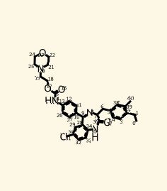 CCc1ccc(CC2N=C(c3ccc(NC(=O)OCCN4CCOCC4)cc3)c3cc(Cl)ccc3NC2=O)cc1C